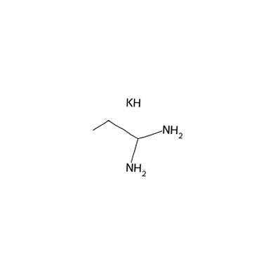 CCC(N)N.[KH]